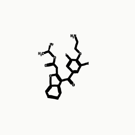 CC(C)[C@H](C)OC(=O)Cc1oc2ccccc2c1C(=O)c1cc(I)c(OCCN)c(I)c1